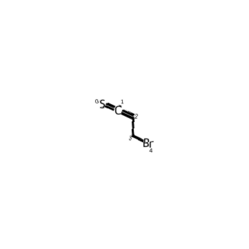 S=C=CCBr